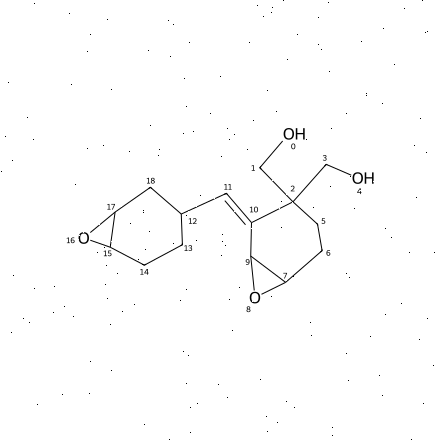 OCC1(CO)CCC2OC2C1=CC1CCC2OC2C1